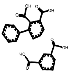 O=C(O)c1cccc(-c2ccccc2)c1C(=O)O.O=C(O)c1cccc(C(=O)O)c1